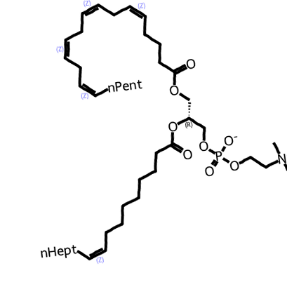 CCCCC/C=C\C/C=C\C/C=C\C/C=C\CCCC(=O)OC[C@H](COP(=O)([O-])OCC[N+](C)(C)C)OC(=O)CCCCCCC/C=C\CCCCCCC